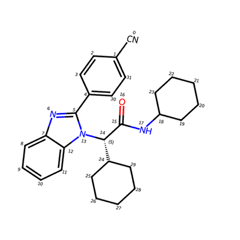 N#Cc1ccc(-c2nc3ccccc3n2[C@H](C(=O)NC2CCCCC2)C2CCCCC2)cc1